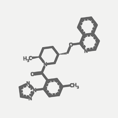 Cc1ccc(-n2nccn2)c(C(=O)N2C[C@@H](COc3nccc4ccccc34)CC[C@@H]2C)c1